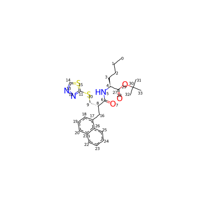 CCCC[C@H](NC(=O)[C@@H](CSc1nncs1)Cc1cccc2ccccc12)C(=O)OC(C)(C)C